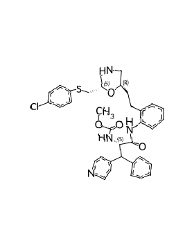 COC(=O)N[C@H](C(=O)Nc1ccccc1CC[C@@H]1CNC[C@@H](CSc2ccc(Cl)cc2)O1)C(c1ccccc1)c1ccncc1